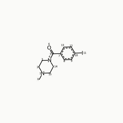 CN1CCN(C(=O)c2ccc(I)cc2)CC1